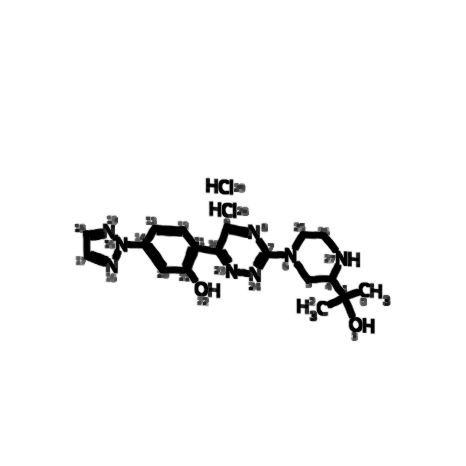 CC(C)(O)C1CN(c2ncc(-c3ccc(-n4nccn4)cc3O)nn2)CCN1.Cl.Cl